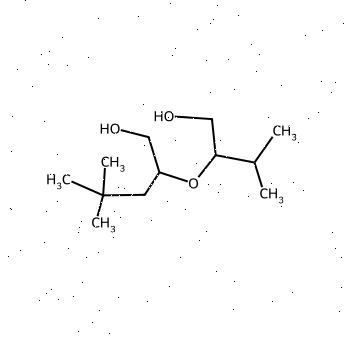 CC(C)C(CO)OC(CO)CC(C)(C)C